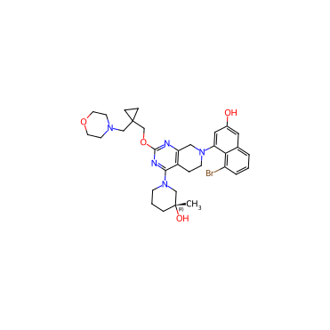 C[C@@]1(O)CCCN(c2nc(OCC3(CN4CCOCC4)CC3)nc3c2CCN(c2cc(O)cc4cccc(Br)c24)C3)C1